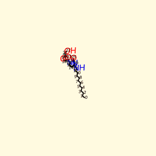 CCCCCCCCCCCCNc1ccn(C2COC(CO)O2)c(=O)n1